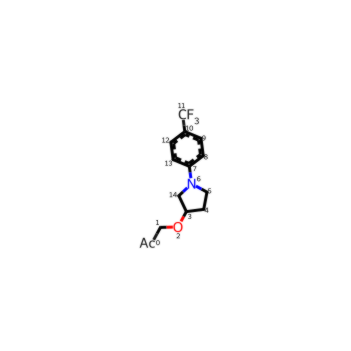 CC(=O)COC1CCN(c2ccc(C(F)(F)F)cc2)C1